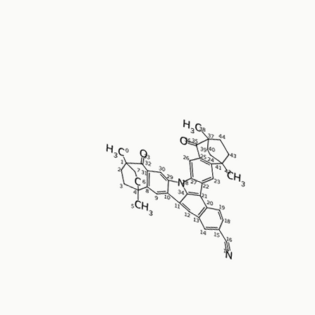 CC12CCC(C)(CC1)c1cc3c4cc5cc(C#N)ccc5c5c6cc7c(cc6n(c3cc1C2=O)c45)C(=O)C1(C)CCC7(C)CC1